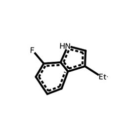 C[CH]c1c[nH]c2c(F)cccc12